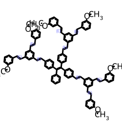 COc1cccc(/C=C/c2cc(/C=C/c3ccc(C(=C(c4ccc(/C=C/c5cc(/C=C/c6cccc(OC)c6)cc(/C=C/c6cccc(OC)c6)c5)cc4)c4ccc(/C=C/c5cc(/C=C/c6cccc(OC)c6)cc(/C=C/c6cccc(OC)c6)c5)cc4)c4ccccc4)cc3)cc(/C=C/c3cccc(OC)c3)c2)c1